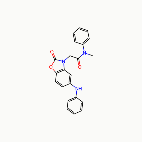 CN(C(=O)Cn1c(=O)oc2ccc(Nc3ccccc3)cc21)c1ccccc1